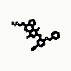 CCOC(=O)C1CCCN1c1c(F)c(F)nc(Oc2cc(C#N)ccc2OCc2ccccc2)c1F